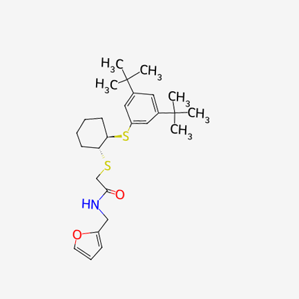 CC(C)(C)c1cc(S[C@@H]2CCCC[C@H]2SCC(=O)NCc2ccco2)cc(C(C)(C)C)c1